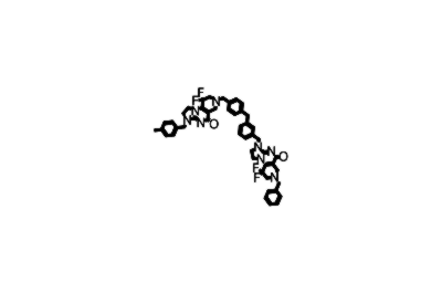 Cc1ccc(CN2CCn3c2nc(=O)c2c3C(F)(F)CN(Cc3ccc(Cc4cccc(CN5CCn6c5nc(=O)c5c6C(F)(F)CN(Cc6ccccc6)C5)c4)cc3)C2)cc1